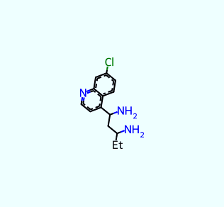 CCC(N)CC(N)c1ccnc2cc(Cl)ccc12